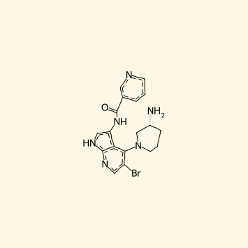 N[C@@H]1CCCN(c2c(Br)cnc3[nH]cc(NC(=O)c4cccnc4)c23)C1